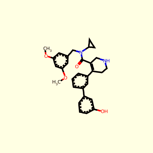 COc1cc(CN(C(=O)C2=C(c3cccc(-c4cccc(O)c4)c3)CCNC2)C2CC2)cc(OC)c1